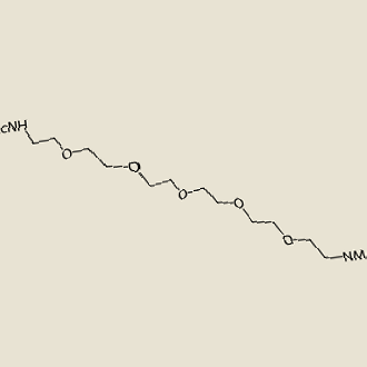 CNCCOCCOCCOCCOCCOCCNC(C)=O